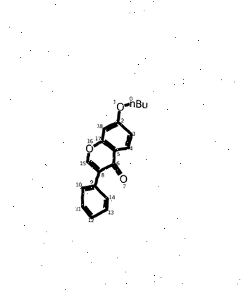 CCCCOc1ccc2c(=O)c(-c3ccccc3)coc2c1